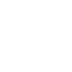 FC1(F)CCOc2ccc(C3CCC4=CCCN43)cc21